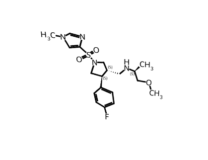 COC[C@H](C)NC[C@H]1CN(S(=O)(=O)c2cn(C)cn2)C[C@@H]1c1ccc(F)cc1